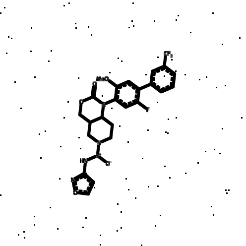 COc1cc(-c2cccc(C(F)(F)F)c2)c(F)cc1N1C(=O)OCC2CN([S+]([O-])Nc3ccon3)CCC21